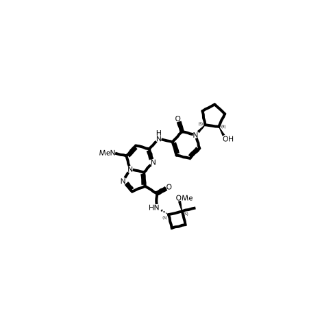 CNc1cc(Nc2cccn([C@H]3CCC[C@H]3O)c2=O)nc2c(C(=O)N[C@H]3CC[C@]3(C)OC)cnn12